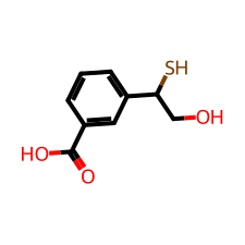 O=C(O)c1cccc(C(S)CO)c1